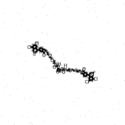 CN1Cc2c(Cl)cc(Cl)cc2C(c2ccc3c(c2)C(=O)N(CCOCCOCCNC(=O)O[C@H]2COC[C@H]2OC(=O)NCCOCCOCCN2Cc4ccc(C5CN(C)Cc6c(Cl)cc(Cl)cc65)cc4C2=O)C3)C1